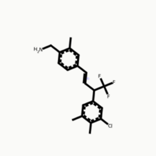 Cc1cc(/C=C/C(c2cc(C)c(C)c(Cl)c2)C(F)(F)F)ccc1CN